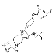 COC(C)C(=O)N1CCc2nc(N3CCC(Oc4ccc(F)cc4F)CC3)c(NCC(F)F)nc2C1